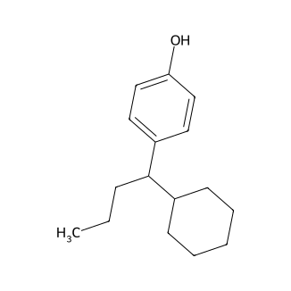 CCCC(c1ccc(O)cc1)C1CCCCC1